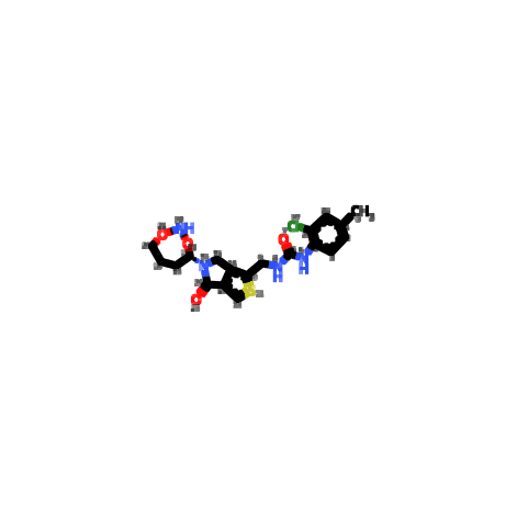 Cc1ccc(NC(=O)NCc2scc3c2CN([C@@H]2CCCONO2)C3=O)c(Cl)c1